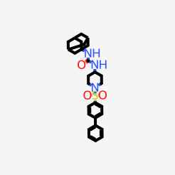 O=C(NC1CCN(S(=O)(=O)c2ccc(-c3ccccc3)cc2)CC1)NC12CC3CC(CC(C3)C1)C2